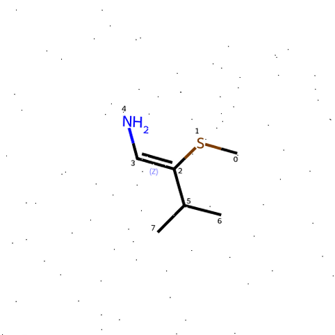 CS/C(=C\N)C(C)C